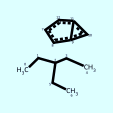 CCC(CC)CC.c1cc2cc-2c1